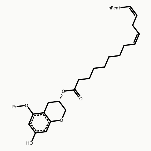 CCCCC/C=C\C/C=C\CCCCCCCC(=O)O[C@@H]1COc2cc(O)cc(OC(C)C)c2C1